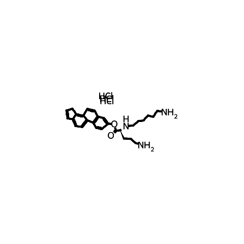 Cl.Cl.Cl.NCCCCCCN[C@@H](CCCN)C(=O)Oc1ccc2c(ccc3c4c(ccc32)C=CC4)c1